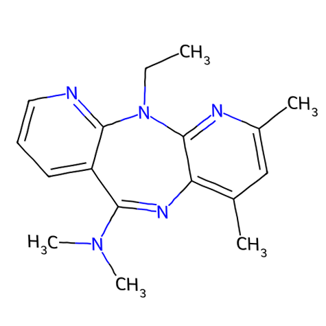 CCN1c2ncccc2C(N(C)C)=Nc2c(C)cc(C)nc21